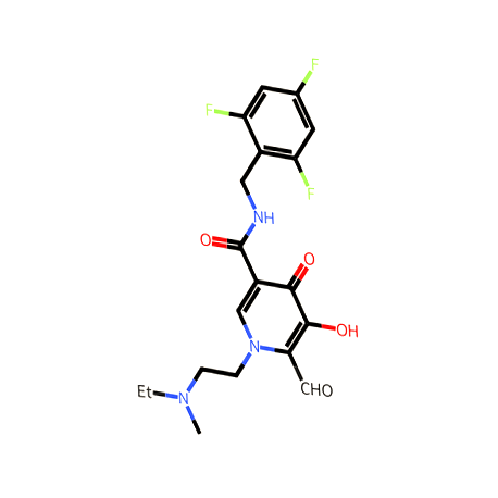 CCN(C)CCn1cc(C(=O)NCc2c(F)cc(F)cc2F)c(=O)c(O)c1C=O